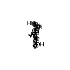 O=C(Oc1cn(C2CC2)c2cc(N3CCN(C4CC=CCC4O)CC3)c(F)cc2c1=O)OC1CC=CCC1N1CCNCC1